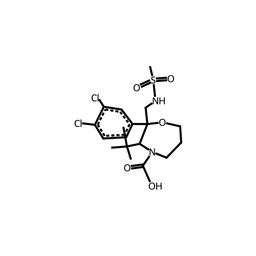 CC(C)(C)C1N(C(=O)O)CCCOC1(CNS(C)(=O)=O)c1ccc(Cl)c(Cl)c1